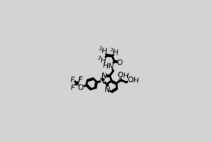 [2H]C([2H])=C([2H])C(=O)NCc1nn(-c2ccc(OC(F)(F)F)cc2)c2nccc([C@H](O)CO)c12